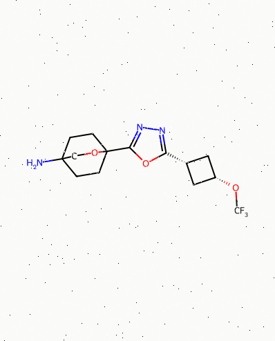 NC12CCC(c3nnc([C@H]4C[C@@H](OC(F)(F)F)C4)o3)(CC1)OC2